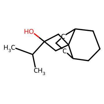 CC(C)C1(O)CC2(C1)C1CCCC2CCC1